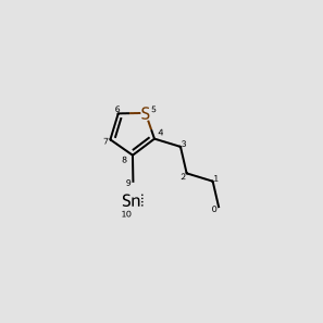 CCCCc1sccc1C.[Sn]